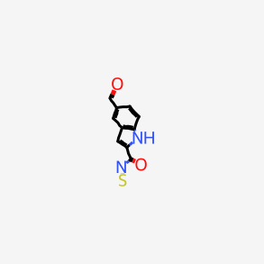 O=Cc1ccc2[nH]c(C(=O)N=S)cc2c1